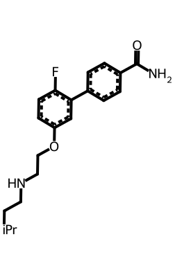 CC(C)CCNCCOc1ccc(F)c(-c2ccc(C(N)=O)cc2)c1